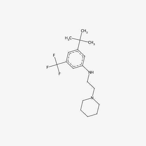 CC(C)(C)c1cc(NCCN2CCCCC2)cc(C(F)(F)F)c1